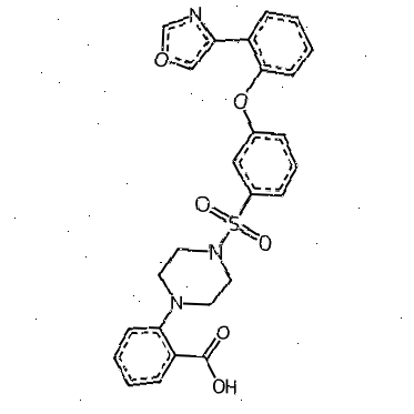 O=C(O)c1ccccc1N1CCN(S(=O)(=O)c2cccc(Oc3ccccc3-c3cocn3)c2)CC1